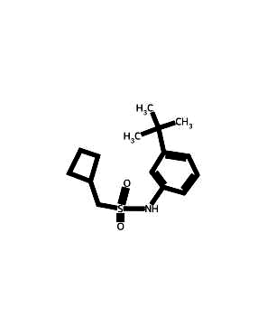 CC(C)(C)c1cccc(NS(=O)(=O)CC2CCC2)c1